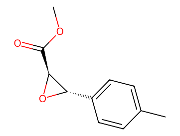 COC(=O)[C@@H]1O[C@H]1c1ccc(C)cc1